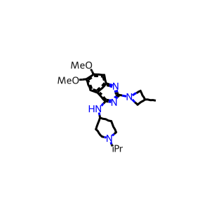 COc1cc2nc(N3CC(C)C3)nc(NC3CCN(C(C)C)CC3)c2cc1OC